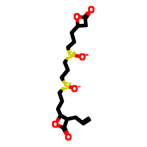 C=CCC1C(=O)OC1CCC[S+]([O-])CCC[S+]([O-])CCCC1CC(=O)O1